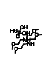 COCCNCCOC.COCCNCCOC.O=P(O)(O)O